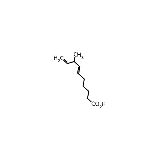 C=CC(C)C=CCCCCC(=O)O